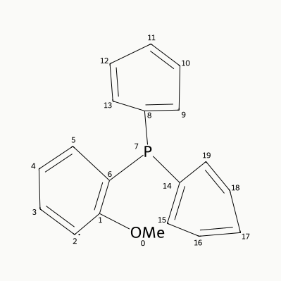 COc1[c]cccc1P(c1ccccc1)c1ccccc1